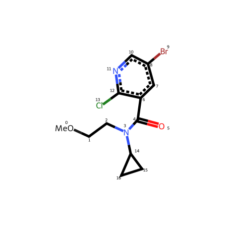 COCCN(C(=O)c1cc(Br)cnc1Cl)C1CC1